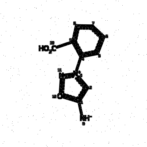 [NH-]c1c[n+](-c2ccccc2C(=O)O)no1